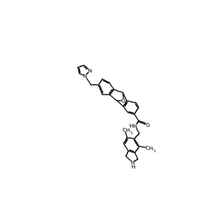 Cc1cc2c(c(C)c1CNC(=O)c1ccc3c(c1)C1OC3c3ccc(Cn4cccn4)cc31)CNC2